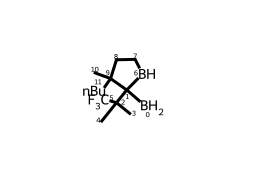 BC1(C(C)(C)C(F)(F)F)BCCC1(C)CCCC